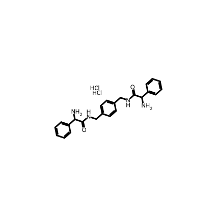 Cl.Cl.NC(C(=O)NCc1ccc(CNC(=O)C(N)c2ccccc2)cc1)c1ccccc1